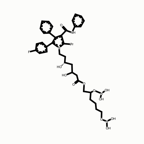 CC(C)c1c(C(=O)Nc2ccccc2)c(-c2ccccc2)c(-c2ccc(F)cc2)n1CC[C@@H](O)CC(O)CC(=O)OCC(CCCCON(O)O)ON(O)O